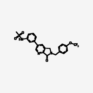 CS(=O)(=O)Nc1cccc(-c2cnc3c(c2)CN(Cc2ccc(OC(F)(F)F)cc2)C3=O)c1